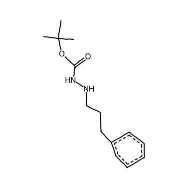 CC(C)(C)OC(=O)NNCCCc1ccccc1